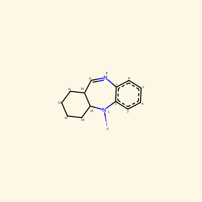 IN1c2ccccc2N=CC2CCCCC21